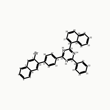 Brc1cc2ccccc2cc1-c1ccc(-c2nc(-c3ccccc3)nc(-c3cccc4ccccc34)n2)cc1